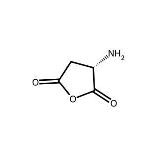 N[C@H]1CC(=O)OC1=O